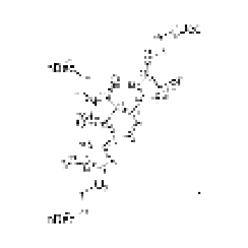 CCCCCCCCCCCCOc1cc(-c2ccc(-c3cc(OCCCCCCCCCCCC)c(Br)s3)c3c2C(=O)N(CCCCCCCCCCCC)C3=O)sc1Br